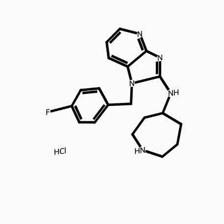 Cl.Fc1ccc(Cn2c(NC3CCCNCC3)nc3ncccc32)cc1